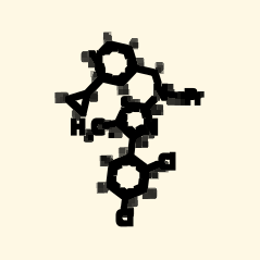 CCCN(Cc1ccnc(C2CC2)c1)c1nc(-c2ccc(Cl)cc2Cl)c(C)s1